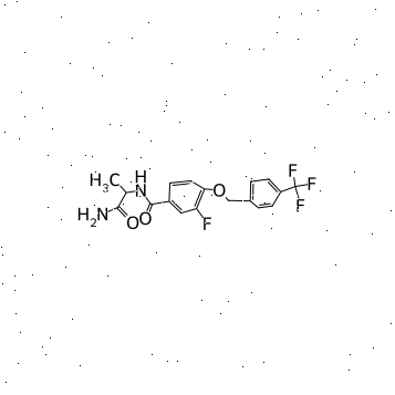 CC(NC(=O)c1ccc(OCc2ccc(C(F)(F)F)cc2)c(F)c1)C(N)=O